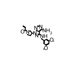 C=CC(=O)N1CCC(n2nc(NCc3cc(OC)cc(OC)c3)c3c(N)ncnc32)C1